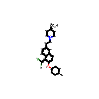 C[C@H]1CC[C@@H](Oc2ccc3cc(CCN4CCC(C(=O)O)CC4)ccc3c2C(F)F)CC1